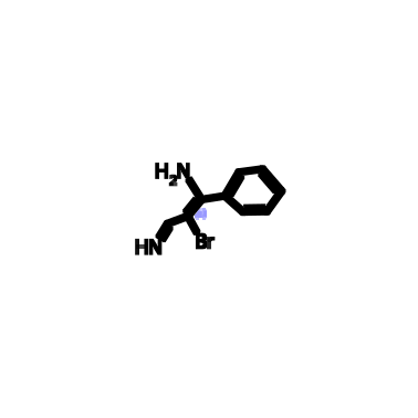 N=C/C(Br)=C(\N)c1ccccc1